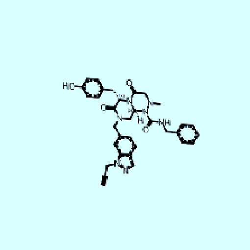 C#CCn1ncc2ccc(CN3C[C@H]4N(C(=O)CN(C)N4C(=O)NCc4ccccc4)[C@@H](Cc4ccc(O)cc4)C3=O)cc21